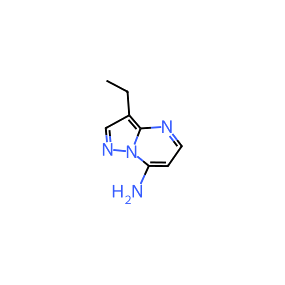 CCc1cnn2c(N)ccnc12